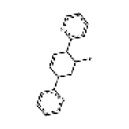 BrC1CC(c2ccccn2)C=CC1c1ccccn1